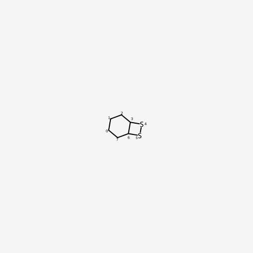 C1CCC2SSC2C1